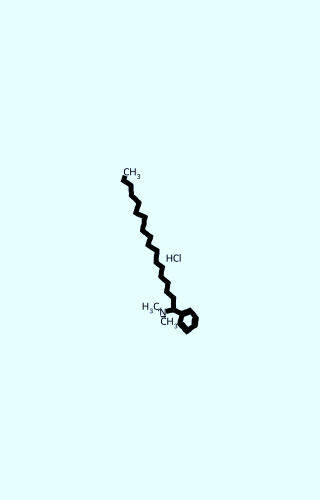 CCCCCCCCCCCCCCCCCC(c1ccccc1)N(C)C.Cl